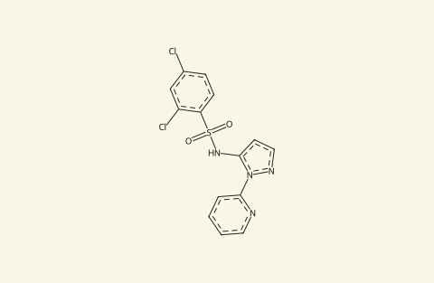 O=S(=O)(Nc1ccnn1-c1ccccn1)c1ccc(Cl)cc1Cl